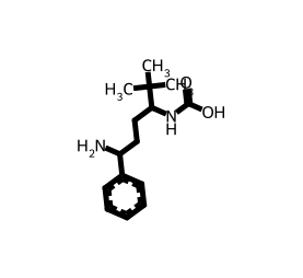 CC(C)(C)C(CCC(N)c1ccccc1)NC(=O)O